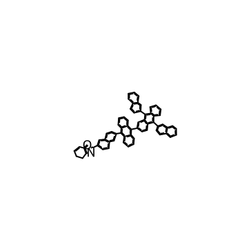 C1=Cc2oc(-c3ccc4cc(-c5c6ccccc6c(-c6ccc7c(-c8ccc9ccccc9c8)c8ccccc8c(-c8ccc9ccccc9c8)c7c6)c6ccccc56)ccc4c3)nc2CC1